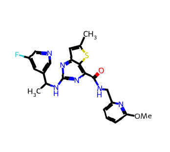 COc1cccc(CNC(=O)c2nc(NC(C)c3cncc(F)c3)nc3cc(C)sc23)n1